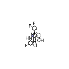 O=C(/N=C(/Nc1cc(F)cc(Cl)c1)N[C@H]1CCCC[C@@H]1O)c1ccc(F)c(F)c1